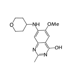 COc1cc2c(O)nc(C)nc2cc1NC1CCOCC1